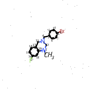 CN1CN(Cc2ccc(Br)cc2)Cc2ccc(F)cc21